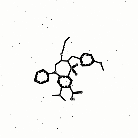 CCCCC1CN(c2ccccc2)c2cc(N(C)C)c(C(=O)O)cc2S(=O)(=O)N1Cc1ccc(OC)cc1